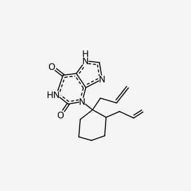 C=CCC1CCCCC1(CC=C)n1c(=O)[nH]c(=O)c2[nH]cnc21